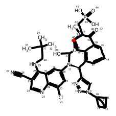 Cn1ccc2c([C@@H](c3cn(C45CC(C4)C5)nn3)N(c3cc(Cl)c4ncc(C#N)c(NCC(C)(C)C)c4c3)C(O)OCCCP(=O)(O)O)cccc2c1=O